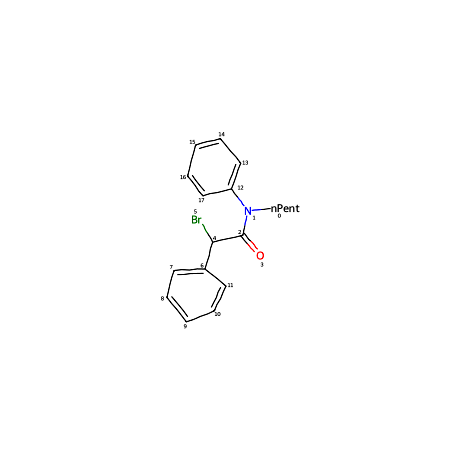 CCCCCN(C(=O)C(Br)c1ccccc1)c1ccccc1